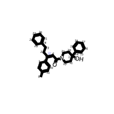 Cc1ccc(/C(=C\C(=O)N2CCC(O)(c3ccccc3)CC2)CCc2ccccc2)cc1